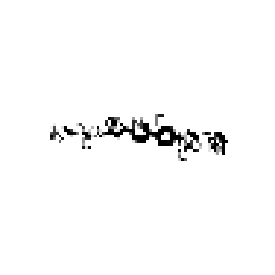 C[N+](C)(C)CCOC(=O)OC[C@@H]1CC(c2ccc(-c3ccc(N4C[C@H](Cn5ccnn5)OC4=O)cc3F)cn2)=NO1